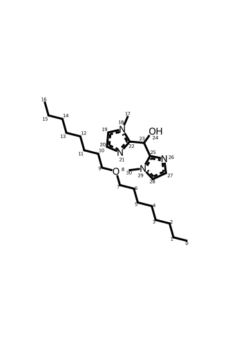 CCCCCCCCOCCCCCCCC.Cn1ccnc1C(O)c1nccn1C